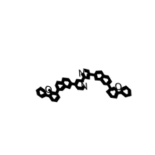 c1ccc2c(c1)oc1c(-c3ccc4ccc(-c5ccnc(-c6cc(-c7ccc8ccc(-c9cccc%10c9oc9ccccc9%10)cc8c7)ccn6)c5)cc4c3)cccc12